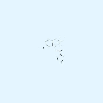 CC(=O)c1ccc2c(c1)[C@@H](NC(=O)c1ccc(F)cc1)[C@H](O)C(C)(C)O2